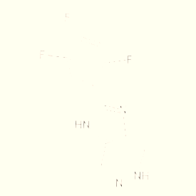 Fc1cc(F)c(-c2nc3c([nH]2)C=NNC3)cc1F